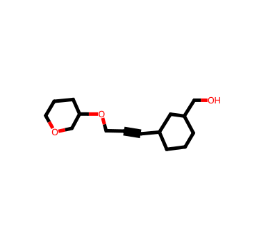 OCC1CCCC(C#CCOC2CCCOC2)C1